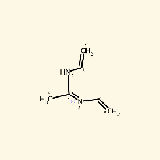 C=C/N=C(/C)NC=C